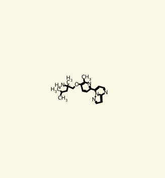 Cc1nc(-c2ccnc3ccnn23)ccc1OC[C@@](C)(N)CC(C)C